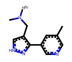 CCCN(C)Cc1c[nH]nc1-c1cncc(C)c1